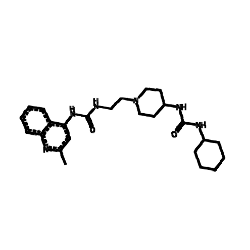 Cc1cc(NC(=O)NCCN2CCC(NC(=O)NC3CCCCC3)CC2)c2ccccc2n1